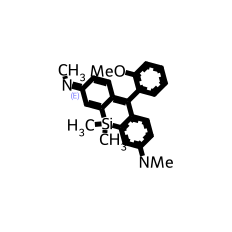 C/N=C1\C=CC2=C(c3ccccc3OC)c3ccc(NC)cc3[Si](C)(C)C2=C1